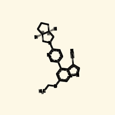 CCOc1cc(-c2ccc(N3C[C@H]4CCC[C@H]4C3)nc2)c2c(C#N)cnn2c1